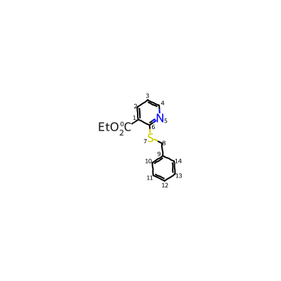 CCOC(=O)c1cccnc1SCc1ccccc1